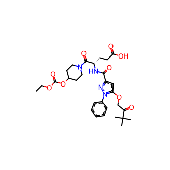 CCOC(=O)OC1CCN(C(=O)[C@H](CCC(=O)O)NC(=O)c2cc(OCC(=O)C(C)(C)C)n(-c3ccccc3)n2)CC1